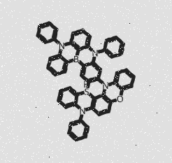 c1ccc(N2c3ccccc3B3c4cc5c(cc4N(c4ccccc4)c4cccc2c43)N2c3ccccc3Oc3ccc4c(c32)[SH]5c2ccccc2N4c2ccccc2)cc1